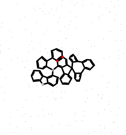 c1ccc(-c2ccccc2N(c2cccc3c2-c2ccccc2C32c3ccccc3-c3ccccc3-c3ccccc32)c2cccc3oc4ccccc4c23)cc1